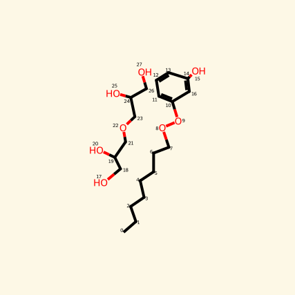 CCCCCCCCOOc1cccc(O)c1.OCC(O)COCC(O)CO